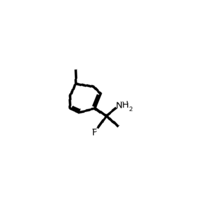 CC1CC=CC(C(C)(N)F)=CC1